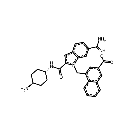 N=C(N)c1ccc2cc(C(=O)N[C@H]3CC[C@H](N)CC3)n(Cc3cc(C(=O)O)cc4ccccc34)c2c1